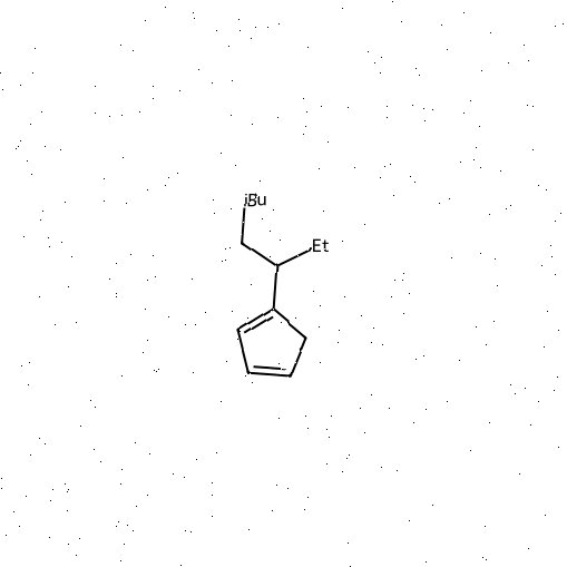 CCC(C)CC(CC)C1=CC=CC1